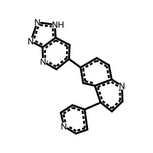 c1cc(-c2ccnc3ccc(-c4cnc5nn[nH]c5c4)cc23)ccn1